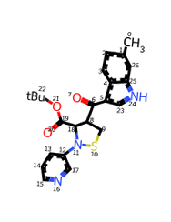 Cc1ccc2c(C(=O)C3CSN(c4cccnc4)C3C(=O)OC(C)(C)C)c[nH]c2c1